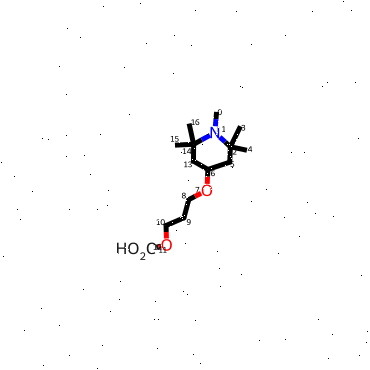 CN1C(C)(C)CC(OCCCOC(=O)O)CC1(C)C